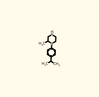 CC(C)c1ccc(N2CCNCC2C)cc1